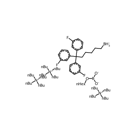 CCCCCCOB([O-])[O-].CCCC[N+](CCCC)(CCCC)CCCC.CCCC[N+](CCCC)(CCCC)CCCC.CCCC[N+](CCCC)(CCCC)CCCC.[BH3-]CCCCCC(c1cccc(F)c1)(c1cccc(F)c1)c1cccc(F)c1